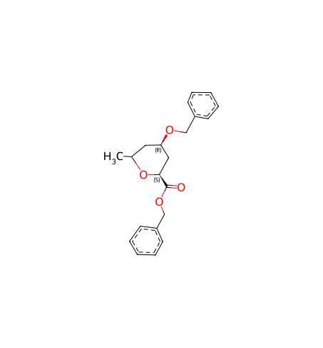 CC1C[C@@H](OCc2ccccc2)C[C@@H](C(=O)OCc2ccccc2)O1